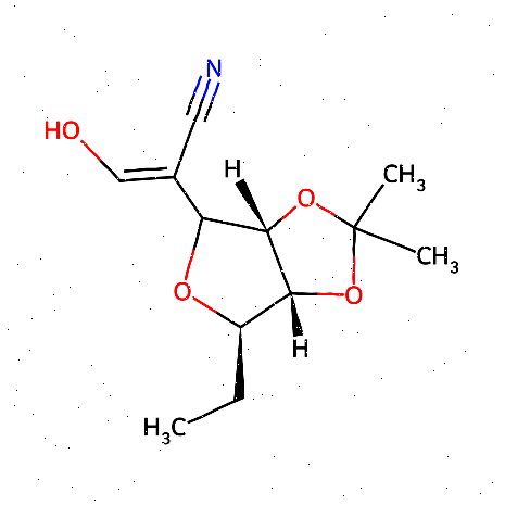 CC[C@H]1OC(C(C#N)=CO)[C@@H]2OC(C)(C)O[C@H]12